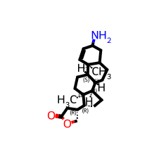 C[C@]12CC[C@H]3[C@@H](CCC4CC(N)C=C[C@@]43C)[C@H]1CC[C@@H]2[C@@H]1COC(=O)C1